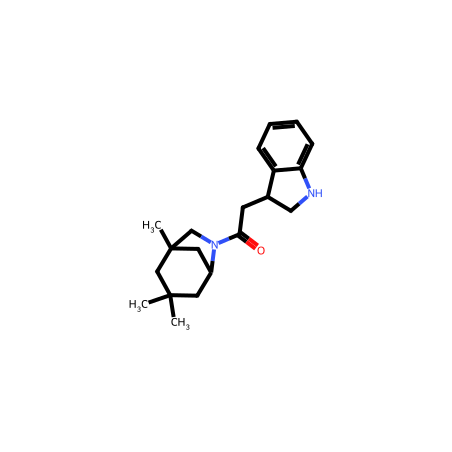 CC1(C)CC2CC(C)(CN2C(=O)CC2CNc3ccccc32)C1